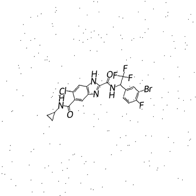 O=C(NC(c1ccc(F)c(Br)c1)C(F)(F)F)c1nc2cc(C(=O)NC3CC3)c(Cl)cc2[nH]1